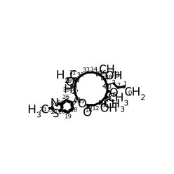 C=CCC[C@H]1C(=O)C(C)(C)[C@@H](O)CC(=O)O[C@H](c2ccc3sc(C)nc3c2)C[C@@H]2O[C@]2(C)CCC[C@H](C)[C@@H]1O